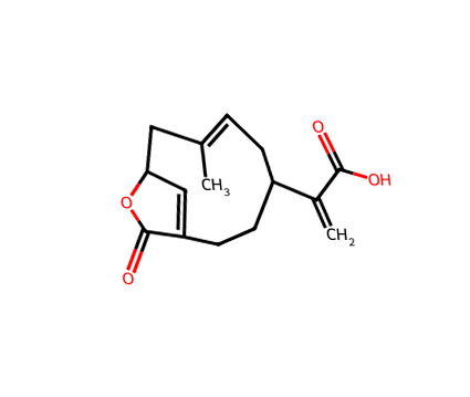 C=C(C(=O)O)C1C/C=C(\C)CC2C=C(CC1)C(=O)O2